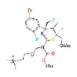 COC[C@@]1(C)SC(N(COCC[Si](C)(C)C)C(=O)OC(C)(C)C)=N[C@](CF)(c2cc(Br)ccc2F)C1C